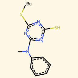 CCC(C)Sc1nc(S)nc(N(C)c2ccccc2)n1